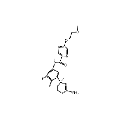 COCCOc1cnc(C(=O)Nc2cc(F)c(F)c([C@]3(C)CCSC(N)=N3)c2)cn1